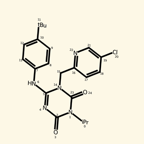 CC(C)n1c(=O)nc(Nc2ccc(C(C)(C)C)cc2)n(Cc2ccc(Cl)cn2)c1=O